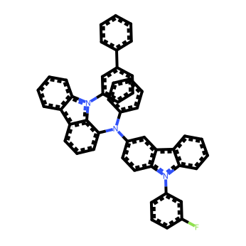 Fc1cccc(-n2c3ccccc3c3cc(N(c4ccccc4)c4cccc5c6ccccc6n(-c6cccc(-c7ccccc7)c6)c45)ccc32)c1